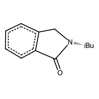 CC[C@@H](C)N1Cc2ccccc2C1=O